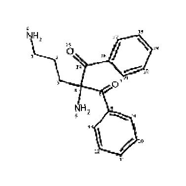 NCCCC(N)(C(=O)c1ccccc1)C(=O)c1ccccc1